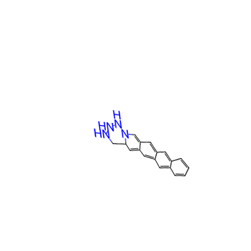 C1=c2cc3cc4ccccc4cc3cc2=CN2NNNCC12